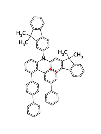 CC1(C)c2ccccc2-c2ccc(N(c3ccc4c(c3)C(C)(C)c3ccccc3-4)c3cccc(-c4ccc(-c5ccccc5)cc4)c3-c3cccc(-c4ccccc4)c3)cc21